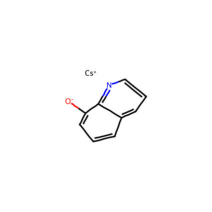 [Cs+].[O-]c1cccc2cccnc12